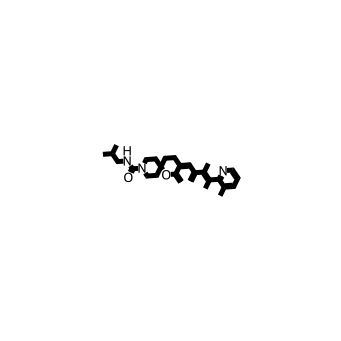 C=C1OC2(CC/C1=C/C(=C)/C(C)=C(\C)c1ncccc1C)CCN(C(=O)NCC(C)C)CC2